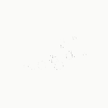 CC(C)(C)OC(=O)N1CC(c2nn(-c3ccc(OC(F)(F)F)cc3)c3nccc(-c4cnn(C5COC5)c4)c23)C1